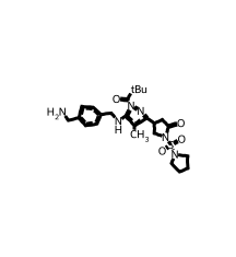 Cc1c(C2CC(=O)N(S(=O)(=O)N3CCCC3)C2)nn(C(=O)C(C)(C)C)c1NCc1ccc(CN)cc1